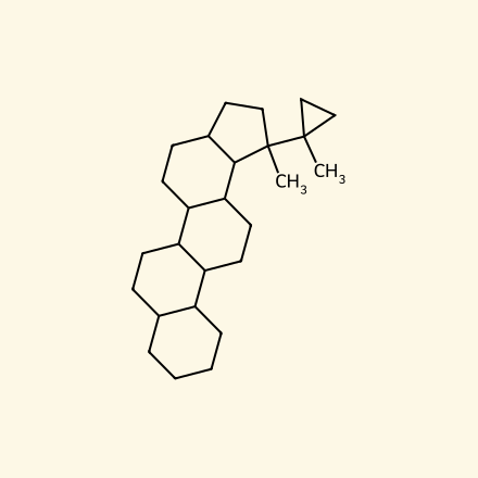 CC1(C2(C)CCC3CCC4C5CCC6CCCCC6C5CCC4C32)CC1